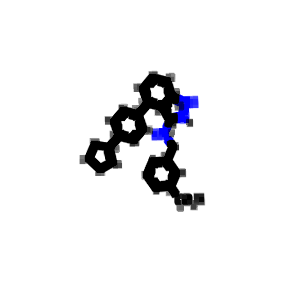 O=C(O)c1cccc(CNc2n[nH]c3cccc(-c4ccc(C5=CCCC5)cc4)c23)c1